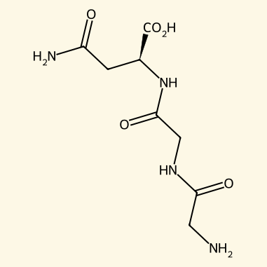 NCC(=O)NCC(=O)N[C@@H](CC(N)=O)C(=O)O